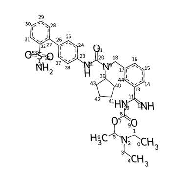 CCN(CC)C(C)OC(=O)NC(=N)c1cccc(CN(C(=O)Nc2ccc(-c3ccccc3S(N)(=O)=O)cc2)C2CCCC2)c1